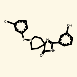 O=C1NC(c2cccc(O)c2)=NC12CCN(Sc1cccc(Cl)c1)CC2